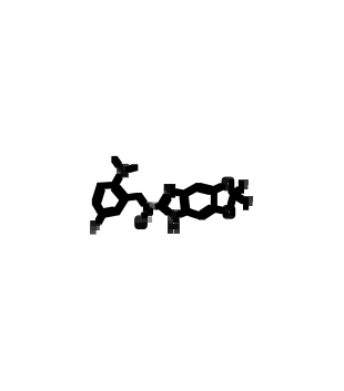 CN(C)c1ccc(F)cc1C[S+]([O-])c1nc2cc3c(cc2[nH]1)OC(F)(F)O3